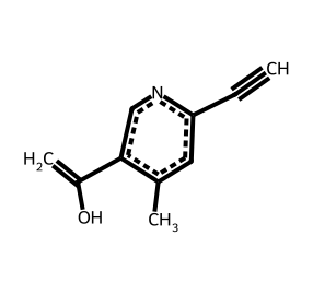 C#Cc1cc(C)c(C(=C)O)cn1